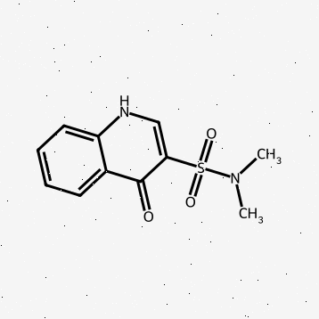 CN(C)S(=O)(=O)c1c[nH]c2ccccc2c1=O